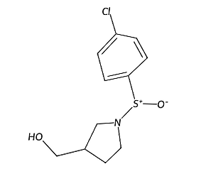 [O-][S+](c1ccc(Cl)cc1)N1CCC(CO)C1